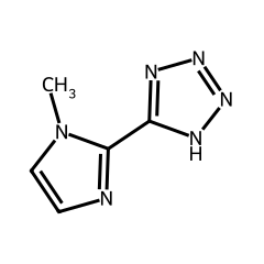 Cn1ccnc1-c1nnn[nH]1